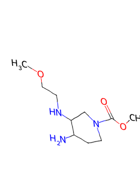 COCCNC1CN(C(=O)OC)CCC1N